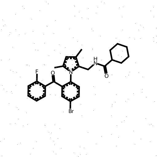 Cc1cc(C)n(-c2ccc(Br)cc2C(=O)c2ccccc2F)c1CNC(=O)C1CCCCC1